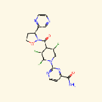 NC(=O)c1ccnc(N2CC(F)C(C(=O)N3OCC[C@H]3c3cnccn3)C(F)C2F)n1